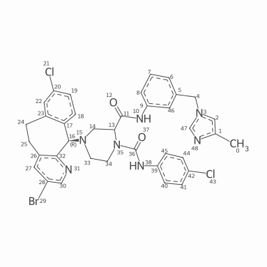 Cc1cn(Cc2cccc(NC(=O)C3CN([C@@H]4c5ccc(Cl)cc5CCc5cc(Br)cnc54)CCN3C(=O)Nc3ccc(Cl)cc3)c2)cn1